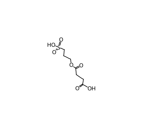 O=C(O)CCC(=O)OCCCS(=O)(=O)O